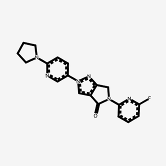 O=C1c2cn(-c3ccc(N4CCCC4)nc3)nc2CN1c1cccc(F)n1